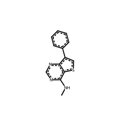 CNc1ncnc2c(-c3ccccc3)csc12